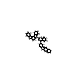 c1ccc2cc3c(cc2c1)sc1ccc(-c2nc(-n4c5ccccc5c5c6c(ccc54)sc4ccccc46)nc4ccccc24)cc13